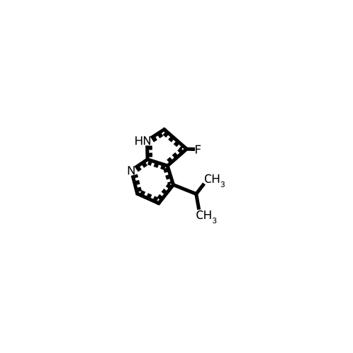 CC(C)c1ccnc2[nH]cc(F)c12